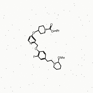 CO[C@H]1CCCCN1CCc1ccc(OCc2cc(OC3CCN(C(=O)OC(C)C)CC3)ccn2)c(F)c1